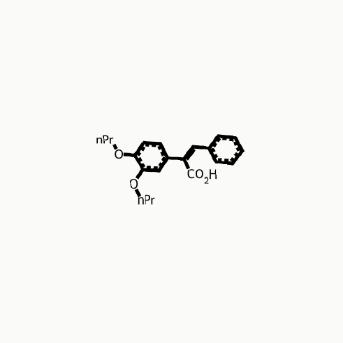 CCCOc1ccc(C(=Cc2ccccc2)C(=O)O)cc1OCCC